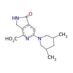 CC1CC(C)CN(c2cc3c(c(C(=O)O)n2)CNC3=O)C1